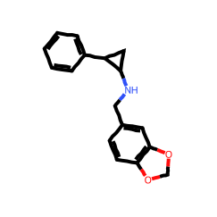 c1ccc(C2CC2NCc2ccc3c(c2)OCO3)cc1